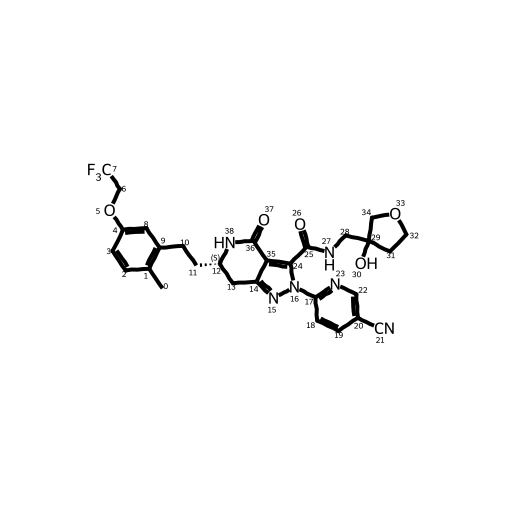 Cc1ccc(OCC(F)(F)F)cc1CC[C@H]1Cc2nn(-c3ccc(C#N)cn3)c(C(=O)NCC3(O)CCOC3)c2C(=O)N1